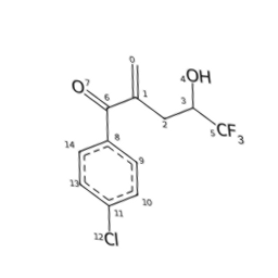 C=C(CC(O)C(F)(F)F)C(=O)c1ccc(Cl)cc1